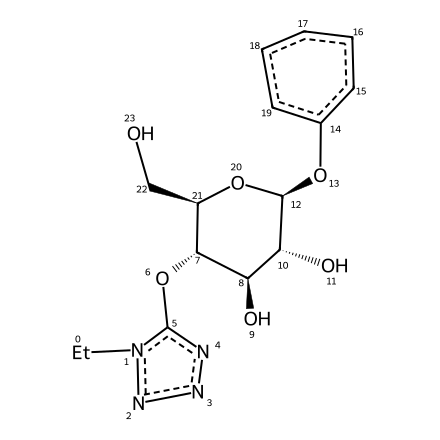 CCn1nnnc1O[C@H]1[C@H](O)[C@@H](O)[C@H](Oc2ccccc2)O[C@@H]1CO